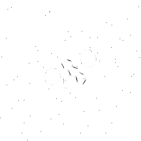 B(c1c2ccccc2c(C2CCCCCCCC2)c2ccccc12)C1CCCCCCCC1